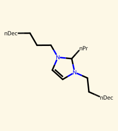 CCCCCCCCCCCCCN1C=CN(CCCCCCCCCCCC)C1CCC